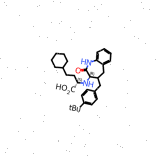 CC(C)(C)c1ccc(CC2Cc3ccccc3NC(=O)[C@@H]2N[C@@H](CCC2CCCCC2)C(=O)O)cc1